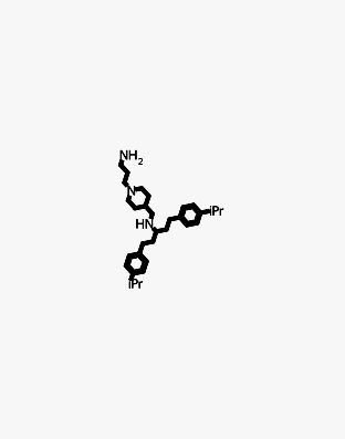 CC(C)c1ccc(CCC(CCc2ccc(C(C)C)cc2)NCC2CCN(CCCN)CC2)cc1